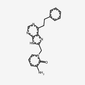 Nc1cccn(Cc2nc3c(CCc4ccccc4)ncnc3[nH]2)c1=O